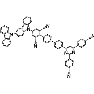 N#Cc1ccc(-c2cc(-c3ccc(-c4ccc(-c5c(C#N)cc(-n6c7ccccc7c7cc(-n8c9ccccc9c9ccccc98)ccc76)cc5C#N)cc4)cc3)nc(-c3ccc(C#N)cc3)n2)cc1